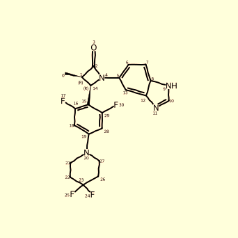 C[C@H]1C(=O)N(c2ccc3[nH]cnc3c2)[C@H]1c1c(F)cc(N2CCC(F)(F)CC2)cc1F